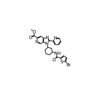 COC(=O)c1cc2nc(-c3ccccn3)n(C3CCCC(NC(=O)c4ccc(Br)s4)C3)c2cn1